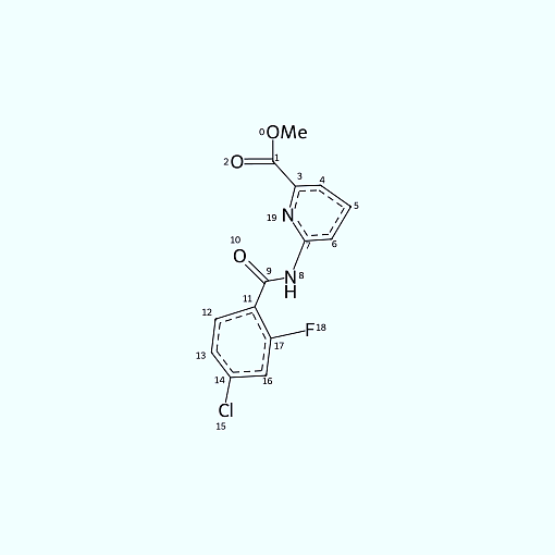 COC(=O)c1cccc(NC(=O)c2ccc(Cl)cc2F)n1